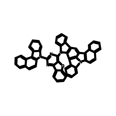 c1ccc2c(c1)ccc1c2c2ccccc2n1-c1nc(-n2c3ccccc3c3cc4c5c6ccccc6ccc5n5c6ccccc6c(c32)c45)c2oc3ccccc3c2n1